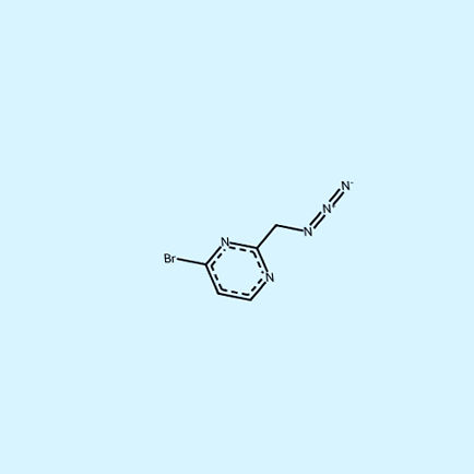 [N-]=[N+]=NCc1nccc(Br)n1